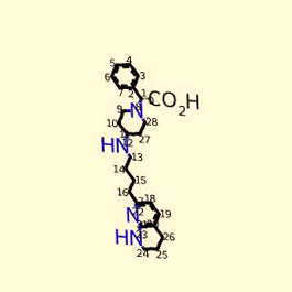 O=C(O)[C@@H](c1ccccc1)N1CCC(NCCCCc2ccc3c(n2)NCCC3)CC1